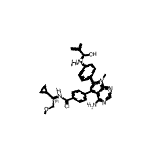 C=C(C)C(O)Nc1ccc(-c2c(-c3ccc(C(=O)N[C@@H](COC)C4CC4)cc3)c3c(N)ncnc3n2C)cc1